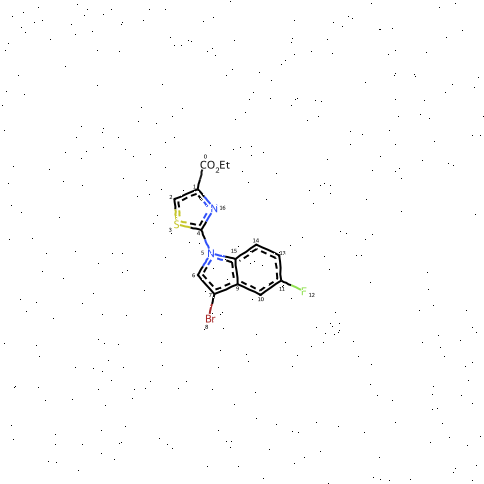 CCOC(=O)c1csc(-n2cc(Br)c3cc(F)ccc32)n1